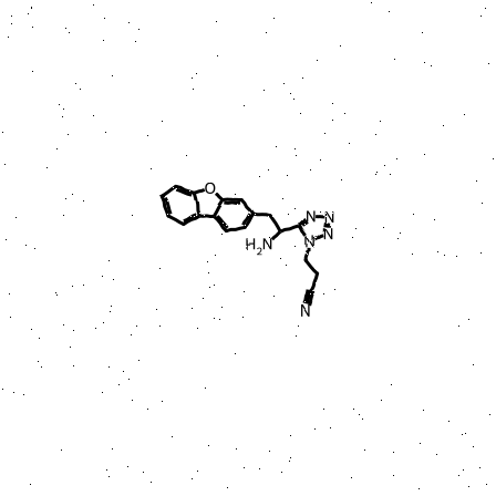 N#CCCn1nnnc1C(N)Cc1ccc2c(c1)oc1ccccc12